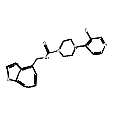 O=C(NCc1cccc2occc12)N1CCN(c2ccncc2F)CC1